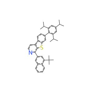 CC(C)c1cc(C(C)C)c(-c2ccc3c(c2)sc2c(-c4cc(C(C)(C)C)c5ccccc5c4)nccc23)c(C(C)C)c1